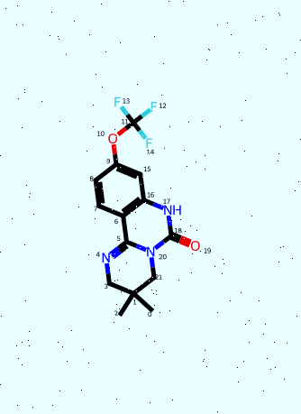 CC1(C)CN=C2c3ccc(OC(F)(F)F)cc3NC(=O)N2C1